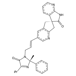 CC(C)C1=N[C@@](C)(c2ccccc2)N(C/C=C/c2cnc3c(c2)C[C@@]2(C3)C(=O)Nc3ncccc32)C1=O